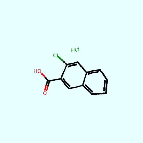 Cl.O=C(O)c1cc2ccccc2cc1Cl